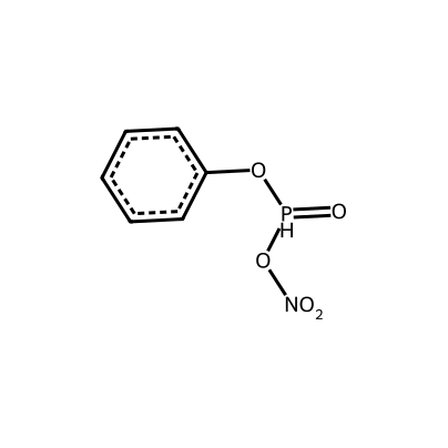 O=[N+]([O-])O[PH](=O)Oc1ccccc1